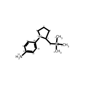 C[N+](C)(C)CC1CCCN1c1ccc(N)cc1